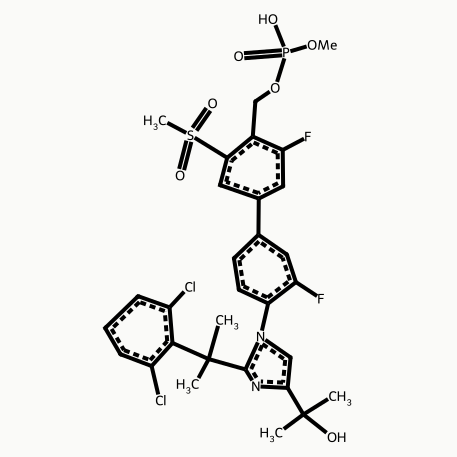 COP(=O)(O)OCc1c(F)cc(-c2ccc(-n3cc(C(C)(C)O)nc3C(C)(C)c3c(Cl)cccc3Cl)c(F)c2)cc1S(C)(=O)=O